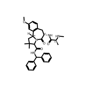 CN[C@@H](C)C(=O)N[C@H]1Cc2ccc(OC)cc2[C@H]2CC(C)(C)C(C(=O)NC(c3ccccc3)c3ccccc3)N2C1=O